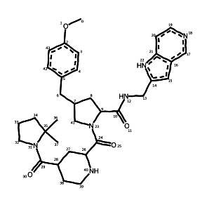 COc1ccc(CC2CC(C(=O)NCc3cc4cnccc4[nH]3)N(C(=O)C3CC(C(=O)N4CCCC4(C)C)CCN3)C2)cc1